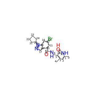 CC1=CC(C)=C(CNC(=O)c2cc(Br)cc3c2cnn3C2CCCC2)C(O)N1